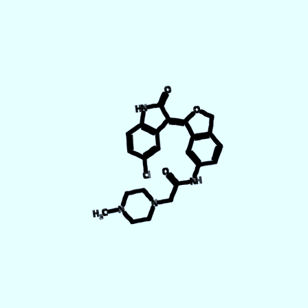 CN1CCN(CC(=O)Nc2ccc3c(c2)/C(=C2/C(=O)Nc4ccc(Cl)cc42)OC3)CC1